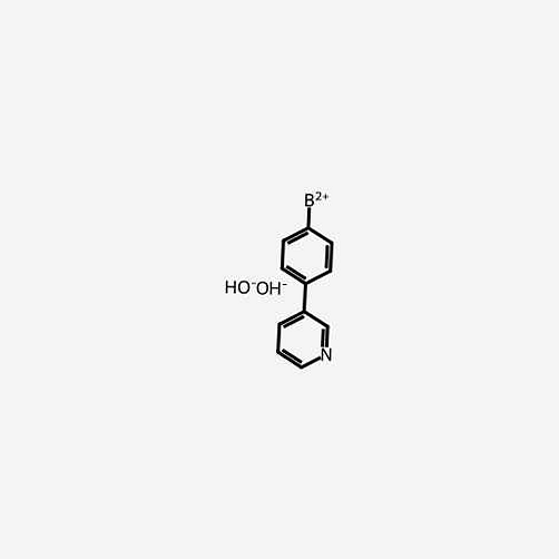 [B+2]c1ccc(-c2cccnc2)cc1.[OH-].[OH-]